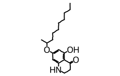 CCCCCCCCC(C)Oc1cc(O)c2c(c1)NCCC2=O